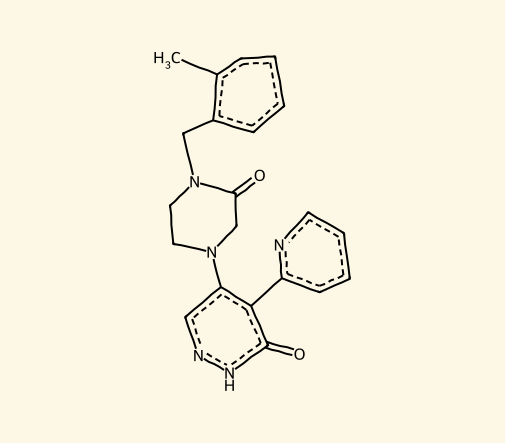 Cc1ccccc1CN1CCN(c2cn[nH]c(=O)c2-c2ccccn2)CC1=O